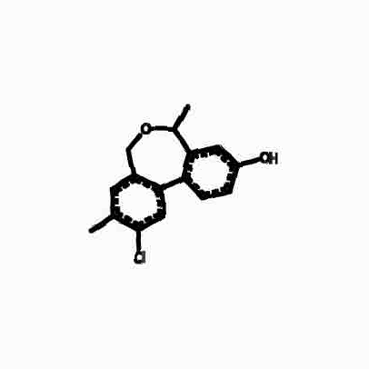 Cc1cc2c(cc1Cl)-c1ccc(O)cc1C(C)OC2